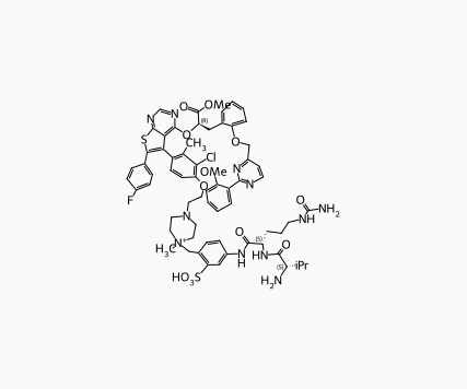 COC(=O)[C@@H](Cc1ccccc1OCc1ccnc(-c2ccccc2OC)n1)Oc1ncnc2sc(-c3ccc(F)cc3)c(-c3ccc(OCCN4CC[N+](C)(Cc5ccc(NC(=O)[C@H](CCCNC(N)=O)NC(=O)[C@@H](N)C(C)C)cc5S(=O)(=O)O)CC4)c(Cl)c3C)c12